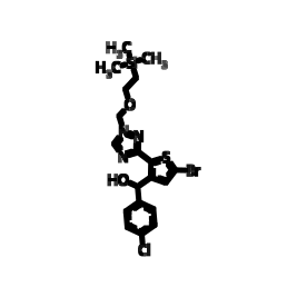 C[Si](C)(C)CCOCn1cnc(-c2sc(Br)cc2C(O)c2ccc(Cl)cc2)n1